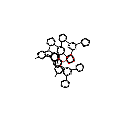 Cc1ccc2c(c1)c1cc(C)ccc1n2-c1ccccc1-c1cc(-c2ccccc2-c2cc(-c3ccccc3)nc(-c3ccccc3)n2)c(-c2ccccc2-n2c3ccc(C)cc3c3cc(C)ccc32)cc1-c1cccc(-c2cc(-c3ccccc3)nc(-c3ccccc3)n2)c1